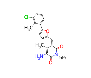 CCCN1C(=O)C(N)=C(C)/C(=C\c2ccc(-c3cccc(Cl)c3C)o2)C1=O